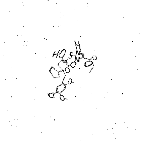 CCOC(=O)c1c[nH]c(SC2=C(O)CC(CCc3cc(Cl)c(OC)cc3OC)(C3CCCC3)OC2=O)n1